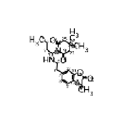 CCCC(NCCc1ccc2c(c1)oc(=O)n2C)N1C(=O)CC(C)(C)CC1=O